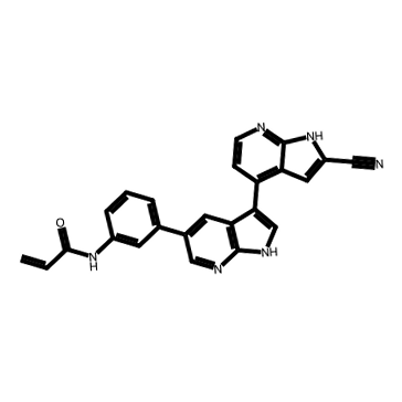 C=CC(=O)Nc1cccc(-c2cnc3[nH]cc(-c4ccnc5[nH]c(C#N)cc45)c3c2)c1